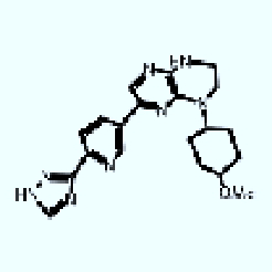 CO[C@H]1CC[C@@H](N2CCNc3ncc(-c4ccc(-c5nc[nH]n5)nc4)nc32)CC1